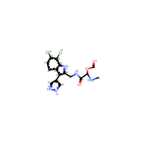 CNC(OC=O)C(=O)NCc1[nH]c2c(Cl)c(Cl)ccc2c1-c1cn[nH]c1